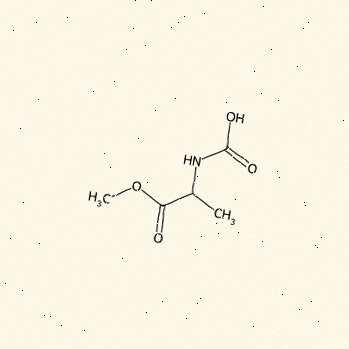 COC(=O)C(C)NC(=O)O